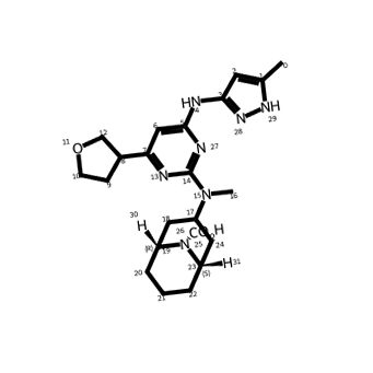 Cc1cc(Nc2cc(C3CCOC3)nc(N(C)C3C[C@H]4CCC[C@@H](C3)N4C(=O)O)n2)n[nH]1